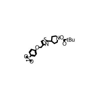 CC(C)(C)C(=O)ON1CCC(c2nc(COc3ccc(S(C)(=O)=O)cc3)cs2)CC1